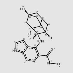 CCNC(=O)c1cnc2[nH]ccc2c1N[C@@H]1[C@@H]2CC3C[C@H]1C[C@@](O)(C3)C2